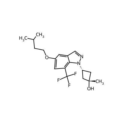 CC(C)CCOc1cc(C(F)(F)F)c2c(cnn2[C@H]2C[C@@](C)(O)C2)c1